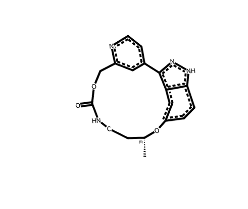 C[C@@H]1CCNC(=O)OCc2cc(ccn2)-c2n[nH]c3ccc(cc23)O1